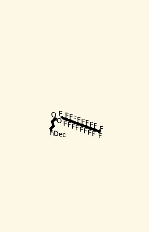 CCCCCCCCCCCCCC(=O)OC(F)C(F)(F)C(F)(F)C(F)(F)C(F)(F)C(F)(F)C(F)(F)C(F)(F)C(F)(F)C(F)F